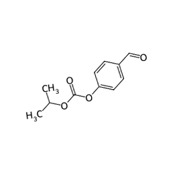 CC(C)OC(=O)Oc1ccc(C=O)cc1